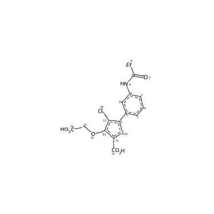 CCC(=O)Nc1cccc(-c2sc(C(=O)O)c(OCC(=O)O)c2Cl)c1